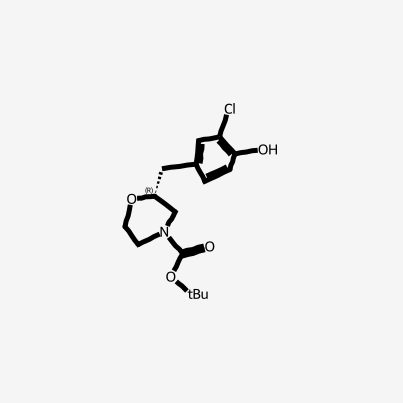 CC(C)(C)OC(=O)N1CCO[C@H](Cc2ccc(O)c(Cl)c2)C1